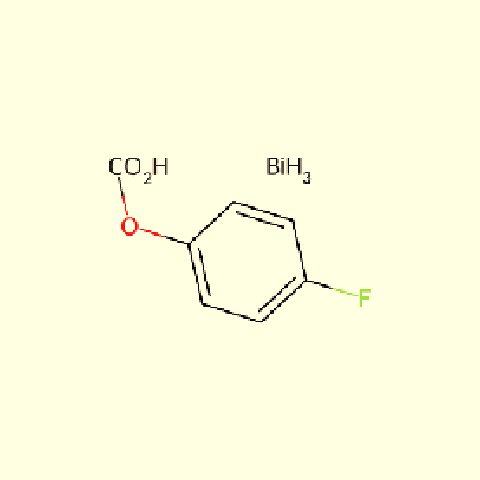 O=C(O)Oc1ccc(F)cc1.[BiH3]